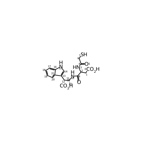 O=C(O)CC(NC(=O)CS)C(=O)N[C@@H](Cc1c[nH]c2ccccc12)C(=O)O